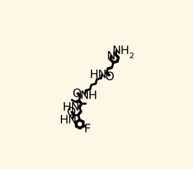 Cc1[nH]c(C=C2C(=O)Nc3ccc(F)cc32)c(C)c1C(=O)NCCCCCCNC(=O)/C=C/c1ccc(N)nc1